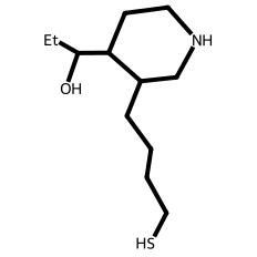 CCC(O)C1CCNCC1CCCCS